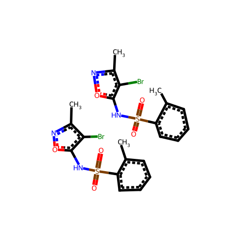 Cc1ccccc1S(=O)(=O)Nc1onc(C)c1Br.Cc1ccccc1S(=O)(=O)Nc1onc(C)c1Br